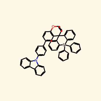 c1ccc([Si]2(c3ccccc3)c3ccccc3C3(c4ccccc4Oc4ccc(-c5ccc(-n6c7ccccc7c7ccccc76)cc5)cc43)c3ccccc32)cc1